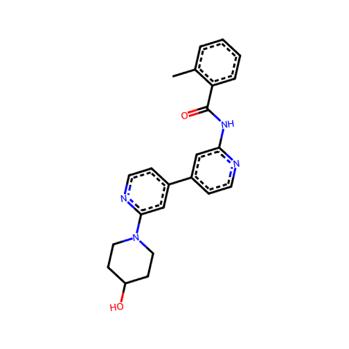 Cc1ccccc1C(=O)Nc1cc(-c2ccnc(N3CCC(O)CC3)c2)ccn1